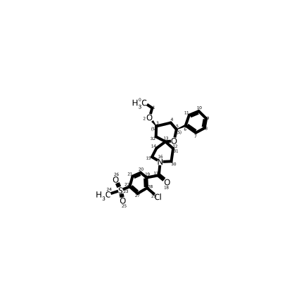 CCO[C@H]1C[C@@H](c2ccccc2)OC2(CCN(C(=O)c3ccc(S(C)(=O)=O)cc3Cl)CC2)C1